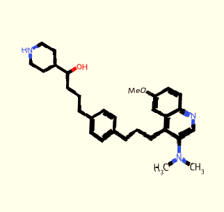 COc1ccc2ncc(N(C)C)c(CCCc3ccc(CCCC(O)C4CCNCC4)cc3)c2c1